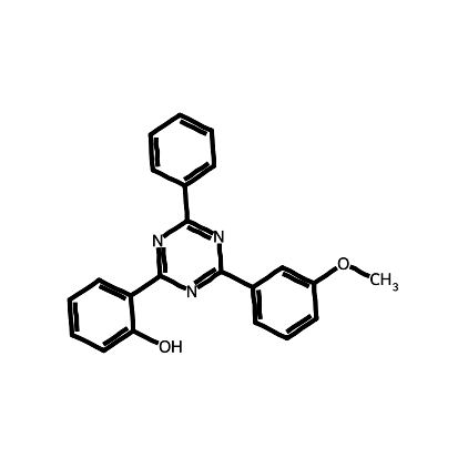 COc1cccc(-c2nc(-c3ccccc3)nc(-c3ccccc3O)n2)c1